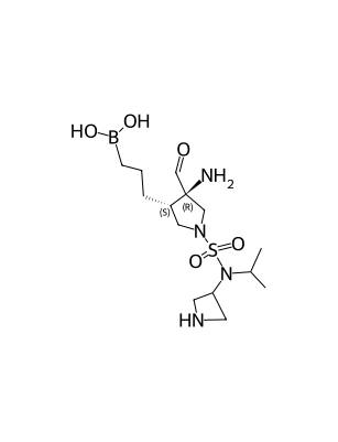 CC(C)N(C1CNC1)S(=O)(=O)N1C[C@H](CCCB(O)O)[C@](N)(C=O)C1